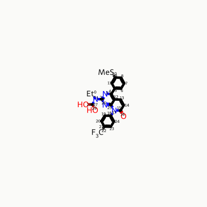 CCN(c1nc(-c2cccc(SC)c2)c2ccc(=O)n(-c3ccc(C(F)(F)F)cc3)c2n1)C(O)O